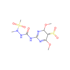 COC1=NC(NC(=O)NN(C)S(C)(=O)=O)=NC(OC)C1=S(=O)=O